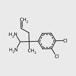 C=CCC(C)(c1ccc(Cl)c(Cl)c1)C(N)N